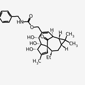 CC[C@@H]1C[C@@H]2[C@H]([C@@H]3C=C(COC(=O)NCc4ccccc4)[C@@H](O)[C@]4(O)[C@@H](O)C(C)=C[C@@]14C3=O)C2(C)C